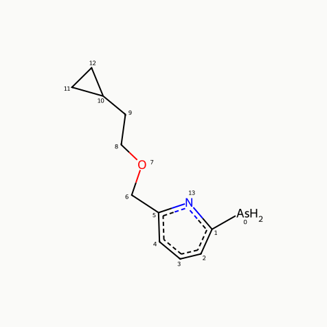 [AsH2]c1cccc(COCCC2CC2)n1